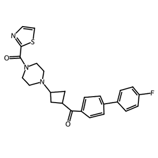 O=C(c1ccc(-c2ccc(F)cc2)cc1)C1CC(N2CCN(C(=O)c3nccs3)CC2)C1